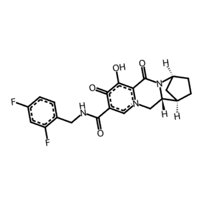 O=C(NCc1ccc(F)cc1F)c1cn2c(c(O)c1=O)C(=O)N1[C@H]3CC[C@H](C3)[C@@H]1C2